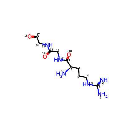 N=C(N)NCCC[C@@H](N)C(=O)NCC(=O)NC[C]=O